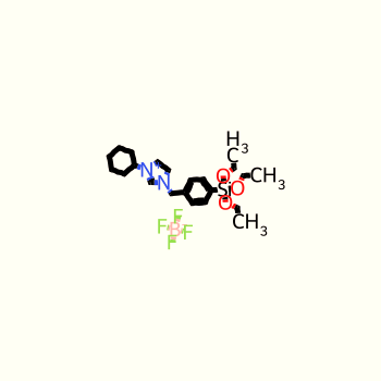 CCO[Si](OCC)(OCC)c1ccc(CN2C=[N+](C3CCCCC3)CC2)cc1.F[B-](F)(F)F